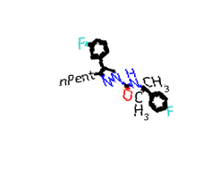 CCCCCC1=NN(C(=O)NC(C)(C)c2ccc(F)cc2)CC1c1cccc(F)c1